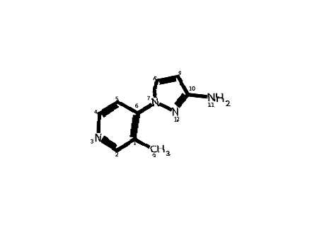 Cc1cnccc1-n1ccc(N)n1